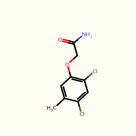 Cc1cc(OCC(N)=O)c(Cl)cc1Cl